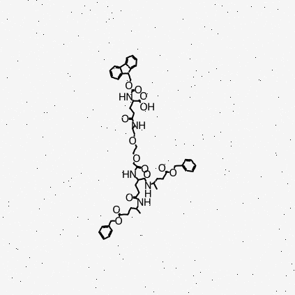 CC(CCC(=O)OCc1ccccc1)NC(=O)CCC(NC(=O)COCCOCCNC(=O)CCC(NC(=O)OCC1c2ccccc2-c2ccccc21)C(=O)O)C(=O)NC(C)CCC(=O)OCc1ccccc1